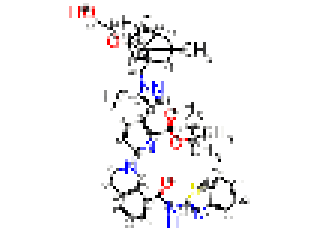 Cc1c(-c2ccc(N3CCc4cccc(C(=O)Nc5nc6ccccc6s5)c4C3)nc2C(=O)OC(C)(C)C)cnn1CC12CC3(C)CC(C)(C1)CC(OCCO)(C3)C2